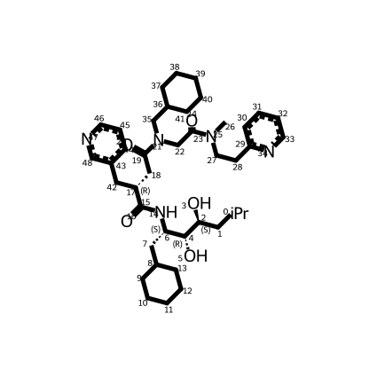 CC(C)C[C@H](O)[C@H](O)[C@H](CC1CCCCC1)NC(=O)[C@@H](CC(=O)N(CC(=O)N(C)CCc1ccccn1)CC1CCCCC1)Cc1cccnc1